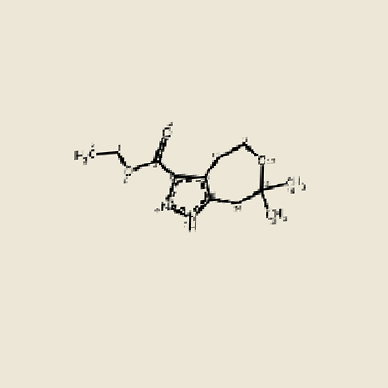 CCOC(=O)c1n[nH]c2c1CCOC(C)(C)C2